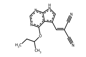 CCC(C)Oc1ncnc2[nH]cc(C=C(C#N)C#N)c12